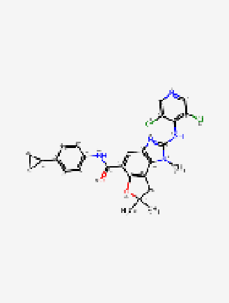 Cn1c(Nc2c(Cl)cncc2Cl)nc2cc(C(=O)Nc3ccc(C4CC4)cc3)c3c(c21)CC(C)(C)O3